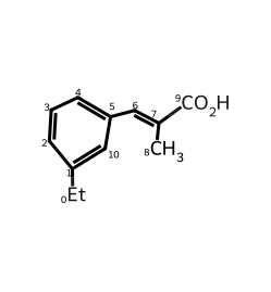 CCc1cccc(C=C(C)C(=O)O)c1